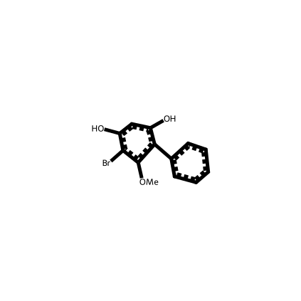 COc1c(Br)c(O)cc(O)c1-c1ccccc1